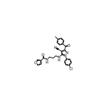 Cc1ccc(C(=O)c2nn(-c3ccc(Cl)cc3)c(NCCCNC(=O)c3ccoc3)c2C#N)cc1